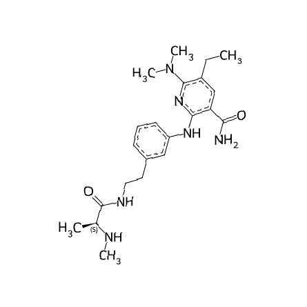 CCc1cc(C(N)=O)c(Nc2cccc(CCNC(=O)[C@H](C)NC)c2)nc1N(C)C